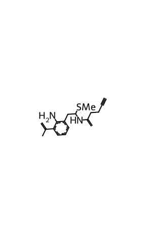 C#CCCC(=C)NC(Cc1cccc(C(=C)C)c1N)SC